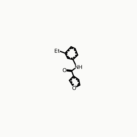 CCc1cccc(NC(=O)c2ccoc2)c1